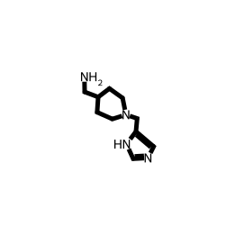 NCC1CCN(Cc2cnc[nH]2)CC1